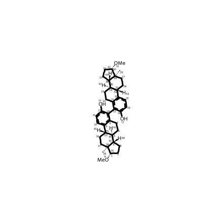 CO[C@H]1CC[C@H]2[C@@H]3CCc4c(ccc(O)c4-c4c(O)ccc5c4CC[C@@H]4[C@@H]5CC[C@]5(C)[C@@H](OC)CC[C@@H]45)[C@H]3CC[C@]12C